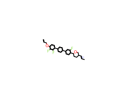 C=CCOc1ccc(-c2ccc(-c3ccc(C4CCC(/C=C/C)CO4)c(F)c3)cc2)c(F)c1F